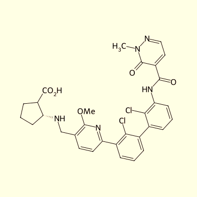 COc1nc(-c2cccc(-c3cccc(NC(=O)c4ccnn(C)c4=O)c3Cl)c2Cl)ccc1CN[C@@H]1CCCC1C(=O)O